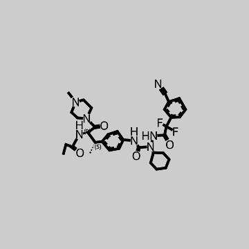 CCC(=O)N[C@@H](C(=O)N1CCN(C)CC1)[C@@H](C)c1ccc(NC(=O)N(NC(=O)C(F)(F)c2cccc(C#N)c2)C2CCCCC2)cc1